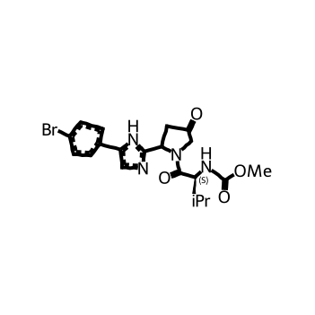 COC(=O)N[C@H](C(=O)N1CC(=O)CC1c1ncc(-c2ccc(Br)cc2)[nH]1)C(C)C